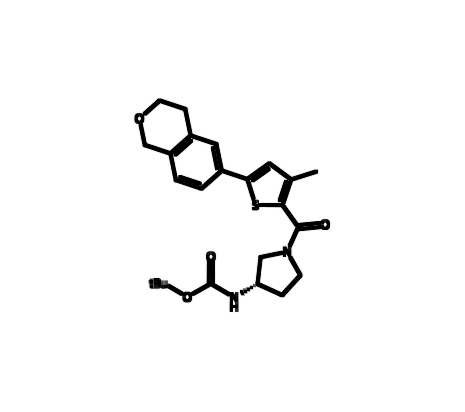 Cc1cc(-c2ccc3c(c2)CCOC3)sc1C(=O)N1CC[C@H](NC(=O)OC(C)(C)C)C1